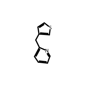 c1ccc(Cc2ccsc2)nc1